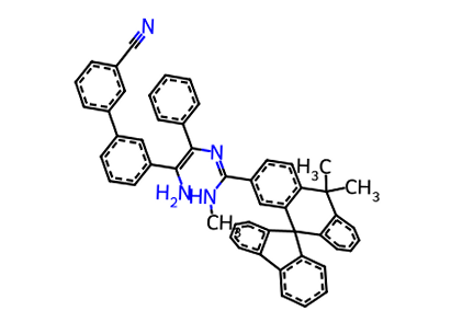 CN/C(=N\C(=C(/N)c1cccc(-c2cccc(C#N)c2)c1)c1ccccc1)c1ccc2c(c1)C1(c3ccccc3-c3ccccc31)c1ccccc1C2(C)C